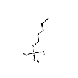 CC(C)(C)[Si](C)(C)OCCC=CI